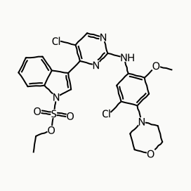 CCOS(=O)(=O)n1cc(-c2nc(Nc3cc(Cl)c(N4CCOCC4)cc3OC)ncc2Cl)c2ccccc21